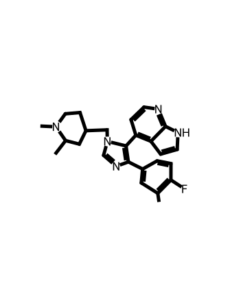 Cc1cc(-c2ncn(CC3CCN(C)C(C)C3)c2-c2ccnc3[nH]ccc23)ccc1F